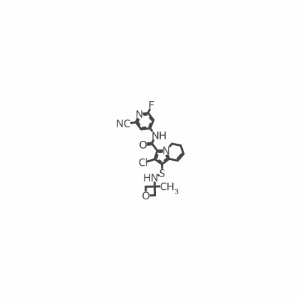 CC1(NSc2c(Cl)c(C(=O)Nc3cc(F)nc(C#N)c3)n3c2C=CCC3)COC1